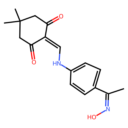 C/C(=N/O)c1ccc(NC=C2C(=O)CC(C)(C)CC2=O)cc1